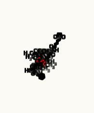 CC[C@H](C)[C@@H]([C@@H](CC(=O)N1CCC[C@H]1[C@H](OC)[C@@H](C)C(=O)N[C@H](C(=O)NCc1ccccc1)[C@@H](C)O)OC)N(C)[C@H](C(=O)NC(=O)[C@H](C(C)C)N(C)CCCC(=O)NNC(=O)CCCCCN1C(=O)C=CC1=O)C(C)C